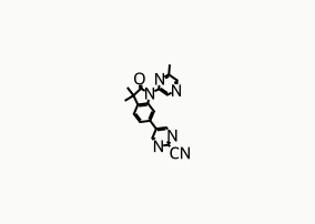 Cc1cncc(N2C(=O)C(C)(C)c3ccc(-c4cnc(C#N)nc4)cc32)n1